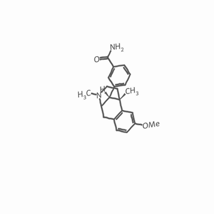 COc1ccc2c(c1)[C@@]1(C)CCN(C)C(C2)[C@@H]1c1cccc(C(N)=O)c1